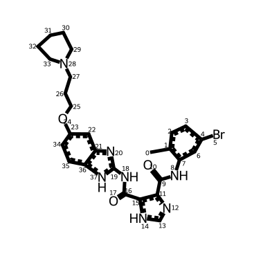 Cc1ccc(Br)cc1NC(=O)c1nc[nH]c1C(=O)Nc1nc2cc(OCCCN3CCCCC3)ccc2[nH]1